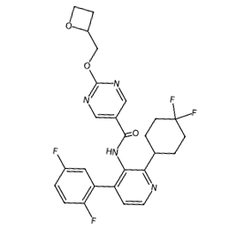 O=C(Nc1c(-c2cc(F)ccc2F)ccnc1C1CCC(F)(F)CC1)c1cnc(OCC2CCO2)nc1